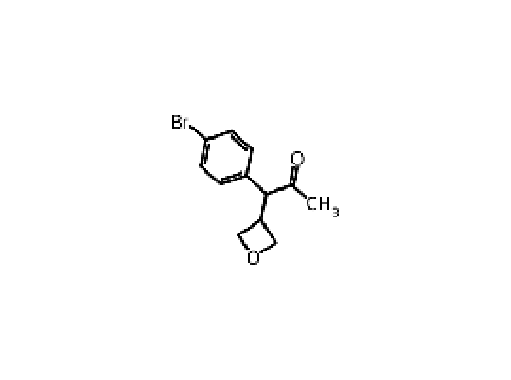 CC(=O)C(c1ccc(Br)cc1)C1COC1